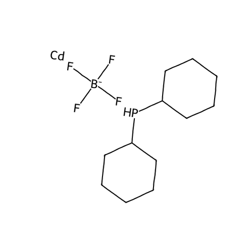 C1CCC(PC2CCCCC2)CC1.F[B-](F)(F)F.[Cd]